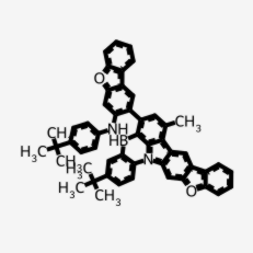 Cc1cc(-c2cc3c(cc2Nc2ccc(C(C)(C)C)cc2)oc2ccccc23)c2c3c1c1cc4c(cc1n3-c1ccc(C(C)(C)C)cc1B2)oc1ccccc14